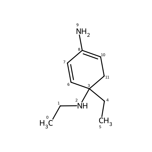 CCNC1(CC)C=CC(N)=CC1